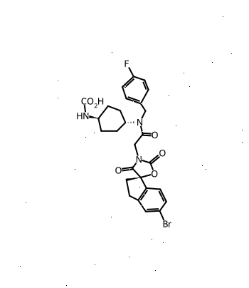 O=C(O)N[C@H]1CC[C@H](N(Cc2ccc(F)cc2)C(=O)CN2C(=O)O[C@@]3(CCc4cc(Br)ccc43)C2=O)CC1